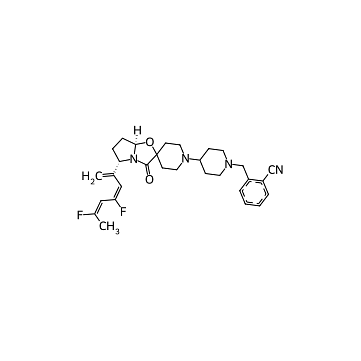 C=C(/C=C(F)\C=C(/C)F)[C@@H]1CC[C@H]2OC3(CCN(C4CCN(Cc5ccccc5C#N)CC4)CC3)C(=O)N21